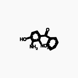 Nc1c(O)ccc(C(=O)c2ccccc2)c1[N+](=O)[O-]